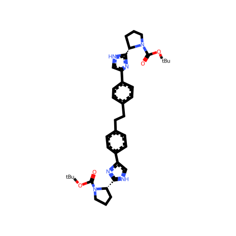 CC(C)(C)OC(=O)N1CCC[C@H]1c1nc(-c2ccc(CCc3ccc(-c4c[nH]c([C@@H]5CCCN5C(=O)OC(C)(C)C)n4)cc3)cc2)c[nH]1